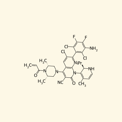 C=CC(=O)N1[C@H](C)CN(c2c(C#N)c(=O)n(C3=C(C)C=CN[C@@H]3C(C)C)c3nc(-c4c(Cl)c(N)c(F)c(F)c4Cl)c(Cl)cc23)C[C@@H]1C